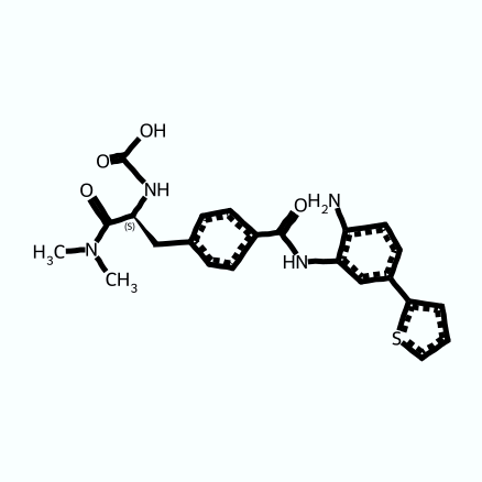 CN(C)C(=O)[C@H](Cc1ccc(C(=O)Nc2cc(-c3cccs3)ccc2N)cc1)NC(=O)O